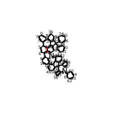 c1ccc(-c2ccc(-c3ccccc3N(c3ccc4c(c3)C(c3ccccc3)(c3ccccc3)c3ccccc3-4)c3cccc4c3-c3ccccc3C43c4ccccc4N(c4ccccc4)c4ccccc43)cc2)cc1